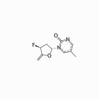 C=C1O[C@@H](n2cc(C)cnc2=O)C[C@@H]1F